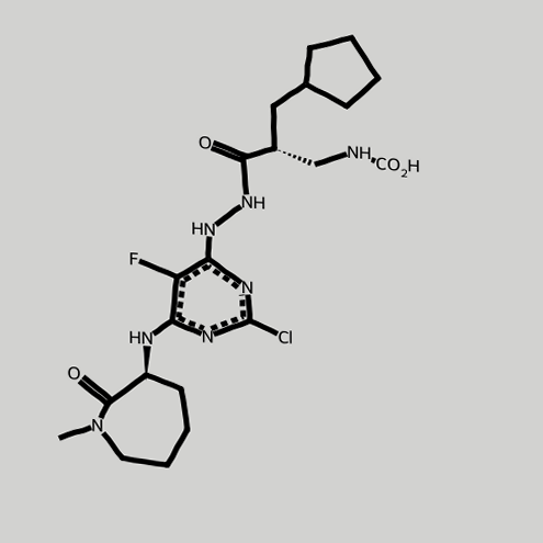 CN1CCCC[C@H](Nc2nc(Cl)nc(NNC(=O)[C@@H](CNC(=O)O)CC3CCCC3)c2F)C1=O